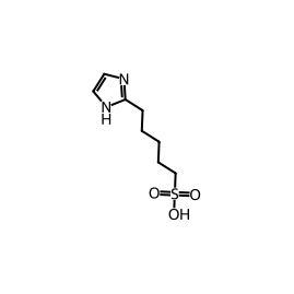 O=S(=O)(O)CCCCCc1ncc[nH]1